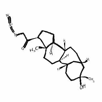 C[C@@]1(O)CC[C@H]2[C@H](CC[C@@H]3[C@@H]2CC[C@]2(C)[C@@H](C(=O)CN=[N+]=[N-])CC[C@@H]32)C1